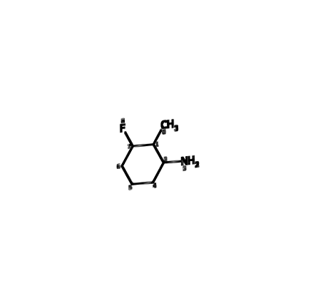 CC1C(N)CCCC1F